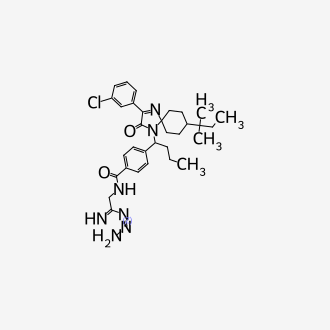 CCCC(c1ccc(C(=O)NCC(=N)/N=N\N)cc1)N1C(=O)C(c2cccc(Cl)c2)=NC12CCC(C(C)(C)CC)CC2